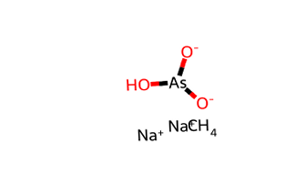 C.[Na+].[Na+].[O-][As]([O-])O